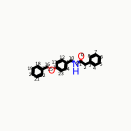 O=C(Cc1ccccc1)NCc1ccc(OCc2ccccc2)cc1